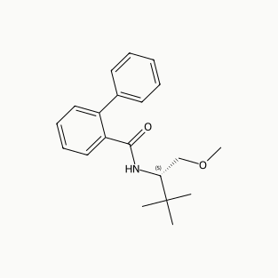 COC[C@@H](NC(=O)c1ccccc1-c1ccccc1)C(C)(C)C